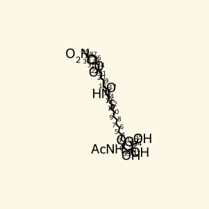 CC(=O)NC1[C@@H](OCCCCCCCCSCCNC(=O)CCCCC(=O)Oc2ccc([N+](=O)[O-])cc2)OC(CO)[C@@H](O)[C@@H]1O